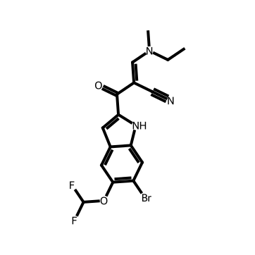 CCN(C)/C=C(\C#N)C(=O)c1cc2cc(OC(F)F)c(Br)cc2[nH]1